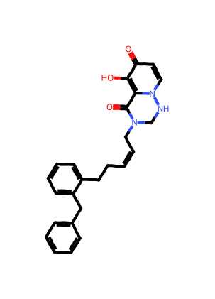 O=C1c2c(O)c(=O)ccn2NCN1C/C=C\CCc1ccccc1Cc1ccccc1